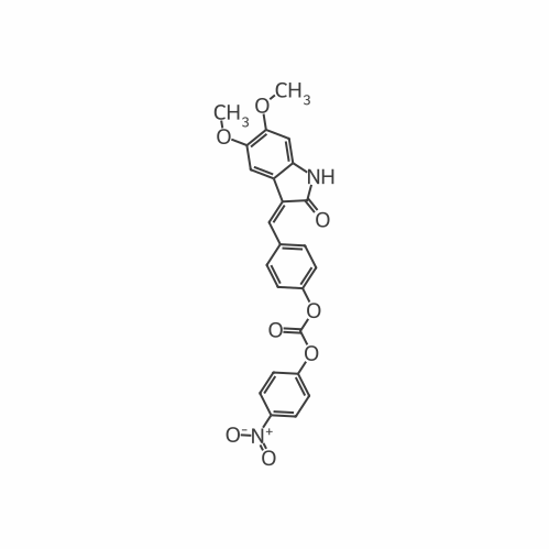 COc1cc2c(cc1OC)C(=Cc1ccc(OC(=O)Oc3ccc([N+](=O)[O-])cc3)cc1)C(=O)N2